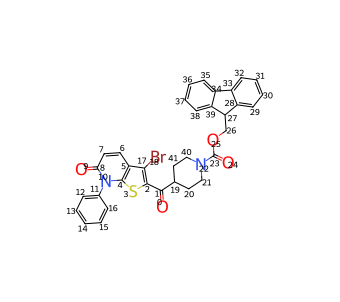 O=C(c1sc2c(ccc(=O)n2-c2ccccc2)c1Br)C1CCN(C(=O)OCC2c3ccccc3-c3ccccc32)CC1